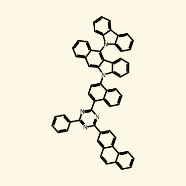 c1ccc(-c2nc(-c3ccc4c(ccc5ccccc54)c3)nc(-c3ccc(-n4c5ccccc5c5c(-n6c7ccccc7c7ccccc76)c6ccccc6cc54)c4ccccc34)n2)cc1